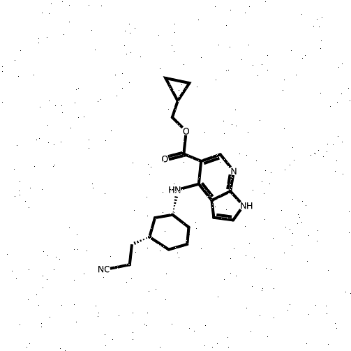 N#CCC[C@H]1CCC[C@@H](Nc2c(C(=O)OCC3CC3)cnc3[nH]ccc23)C1